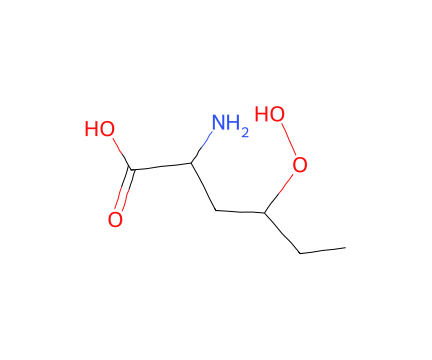 CCC(CC(N)C(=O)O)OO